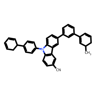 CC1C=C(c2cccc(-c3ccc4c(c3)c3cc(C#N)ccc3n4-c3ccc(C4C=CC=CC4)cc3)c2)C=CC1